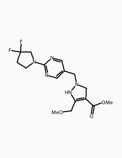 COCC1=C(C(=O)OC)CN(Cc2cnc(N3CCC(F)(F)C3)nc2)N1